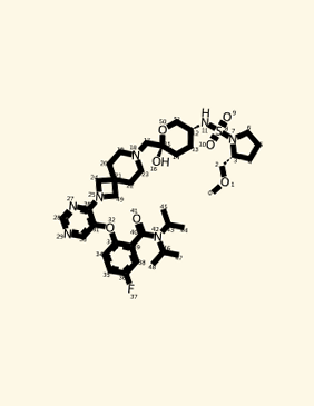 COC[C@H]1CCCN1S(=O)(=O)N[C@@H]1CC[C@](O)(CN2CCC3(CC2)CN(c2ncncc2Oc2ccc(F)cc2C(=O)N(C(C)C)C(C)C)C3)OC1